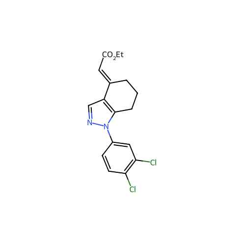 CCOC(=O)/C=C1\CCCc2c1cnn2-c1ccc(Cl)c(Cl)c1